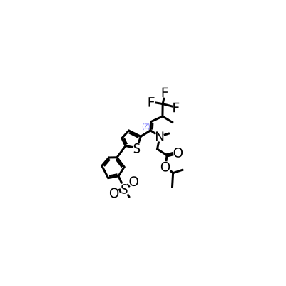 CC(C)OC(=O)CN(C)/C(=C\C(C)C(F)(F)F)c1ccc(-c2cccc(S(C)(=O)=O)c2)s1